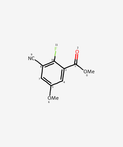 COC(=O)c1cc(OC)cc(C#N)c1F